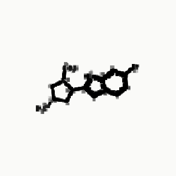 C[C@H]1C[C@H](c2cc3ccc(Br)cc3[nH]2)N(C(=O)O)C1